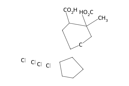 C1CCCC1.CC1(C(=O)O)CCCCC1C(=O)O.[C].[C].[C].[C]